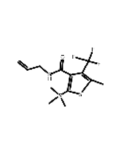 C=CCNC(=O)c1c(S(C)(C)C)sc(C)c1C(F)(F)F